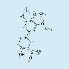 COc1cc(-c2ccc(O)c(C(=O)O)c2)cc(OC)c1OC